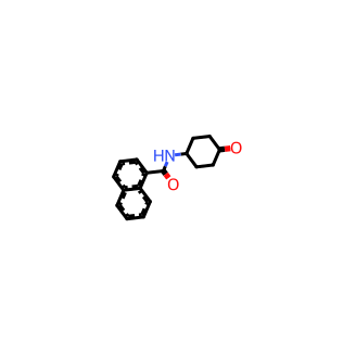 O=C1CCC(NC(=O)c2cccc3ccccc23)CC1